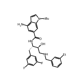 CCCCn1ccc2c(N)cc(C(=O)N[C@@H](Cc3cc(F)cc(F)c3)[C@@H](O)CNCc3cccc(CC)c3)cc21